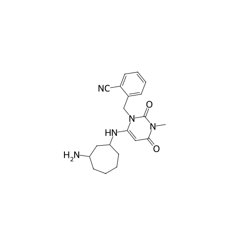 Cn1c(=O)cc(NC2CCCCC(N)C2)n(Cc2ccccc2C#N)c1=O